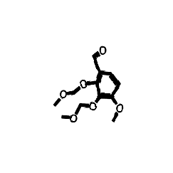 COCOc1c(C=O)ccc(OC)c1OCOC